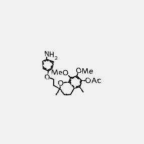 COc1c(OC(C)=O)c(C)c2c(c1OC)OC(C)(CCOc1ccc(N)cc1)CC2